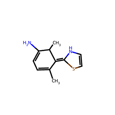 CC1=CC=C(N)C(C)C1=C1NC=CS1